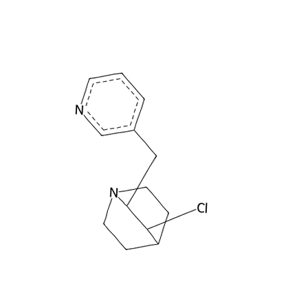 ClC1C2CCN(CC2)C1Cc1cccnc1